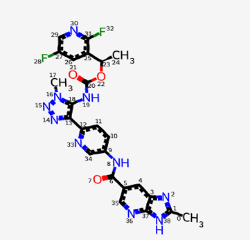 Cc1nc2cc(C(=O)Nc3ccc(-c4nnn(C)c4NC(=O)O[C@H](C)c4cc(F)cnc4F)nc3)cnc2[nH]1